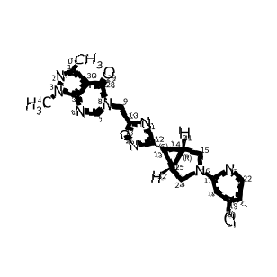 Cc1nn(C)c2ncn(Cc3nc([C@@H]4[C@@H]5CN(c6cc(Cl)ccn6)C[C@@H]54)no3)c(=O)c12